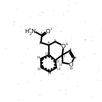 NC(=O)CC1COC2(C=COC2)c2ccccc21